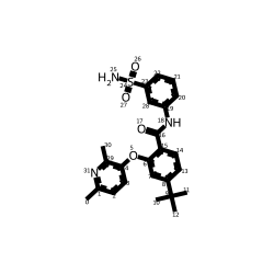 Cc1ccc(Oc2cc(C(C)(C)C)ccc2C(=O)Nc2cccc(S(N)(=O)=O)c2)c(C)n1